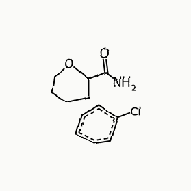 Clc1ccccc1.NC(=O)C1CCCCO1